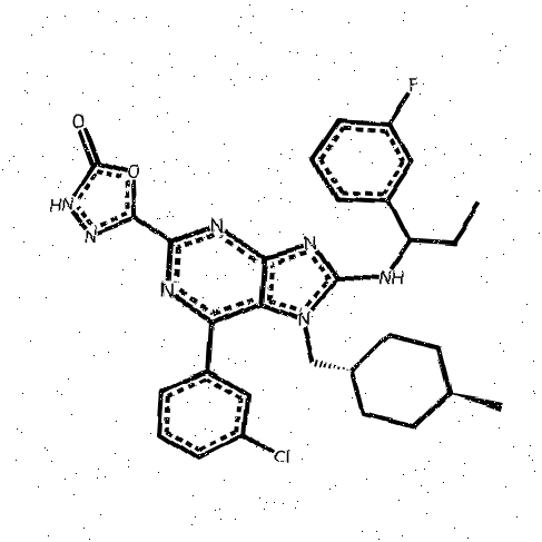 CCC(Nc1nc2nc(-c3n[nH]c(=O)o3)nc(-c3cccc(Cl)c3)c2n1C[C@H]1CC[C@H](C)CC1)c1cccc(F)c1